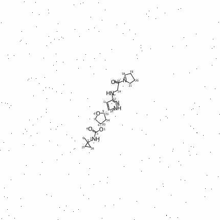 CC1(NC(=O)O[C@@H]2CO[C@H](c3cc(NCC(=O)N4CCCC4)n[nH]3)C2)CC1